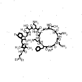 CCN(CC)CCNC(=O)c1c(C)[nH]c(/C=C2\C(=O)N(CC(=O)N[C@H](C(=O)NC(CCN)C(=O)N[C@H]3CCNC(=O)[C@H](C(C)O)NC(=O)[C@H](CCN)NC(=O)[C@H](CCN)NC(=O)[C@H](CC(C)C)NC(=O)C(Cc4ccccc4)NC(=O)C(CCN)NC3=O)C(C)O)c3ccc(F)cc32)c1C